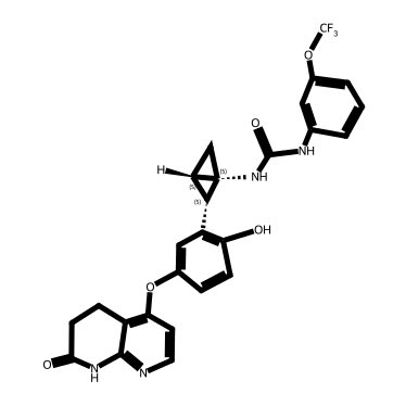 O=C1CCc2c(Oc3ccc(O)c([C@@H]4[C@@H]5C[C@@]45NC(=O)Nc4cccc(OC(F)(F)F)c4)c3)ccnc2N1